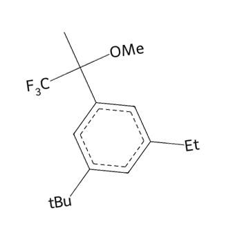 CCc1cc(C(C)(C)C)cc(C(C)(OC)C(F)(F)F)c1